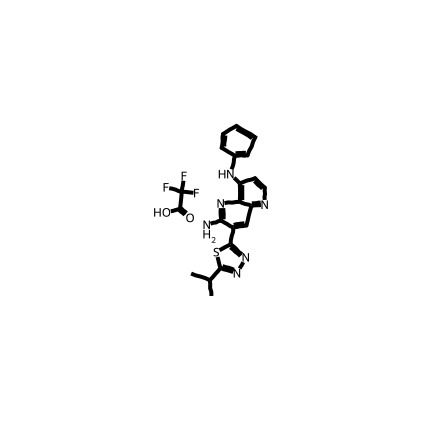 CC(C)c1nnc(-c2cc3nccc(Nc4ccccc4)c3nc2N)s1.O=C(O)C(F)(F)F